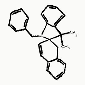 CC1(C)c2ccccc2N(Cc2ccccc2)C12C=Cc1ccccc1C2